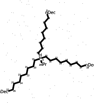 CCCCCCCCCCCCCCCCCC[PH](CCCCCCCCCCCCCCCCCC)(CCCCCCCCCCCCCCCCCC)C(C)C